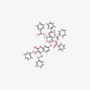 O=C(OC[C@H]1O[C@@H](Oc2ccc3c(OCc4ccccc4)c(OCc4ccccc4)c(=O)oc3c2)[C@H](OC(=O)c2ccccc2)[C@@H](OC(=O)c2ccccc2)[C@@H]1OC(=O)c1ccccc1)c1ccccc1